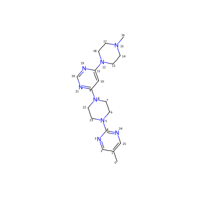 Cc1cnc(N2CCN(c3cc(N4CCN(C)CC4)ncn3)CC2)nc1